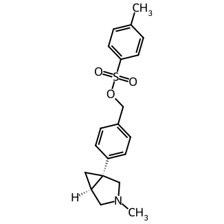 Cc1ccc(S(=O)(=O)OCc2ccc([C@@]34C[C@@H]3CN(C)C4)cc2)cc1